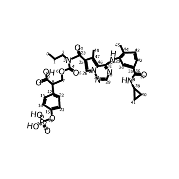 CCCN(C(=O)OCC(C(=O)O)c1ccc(OP(=O)(O)O)cc1)C(=O)c1cn2ncnc(Nc3cc(C(=O)NC4CC4)ccc3C)c2c1C